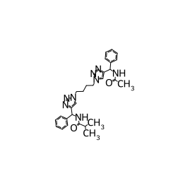 CC(=O)NC(c1ccccc1)c1cn(CCCCn2cc(C(NC(=O)C(C)C)c3ccccc3)nn2)nn1